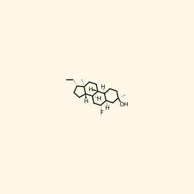 CC[C@H]1CC[C@H]2[C@@H]3C[C@@H](F)[C@@H]4C[C@](C)(O)CC[C@@H]4[C@H]3CC[C@]12C